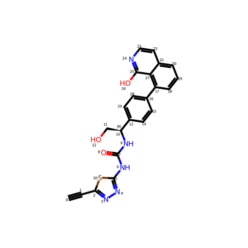 C#Cc1nnc(NC(=O)N[C@@H](CO)c2ccc(-c3cccc4ccnc(O)c34)cc2)s1